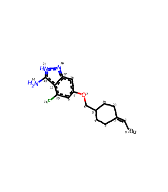 CCC(C)C=C1CCC(COc2cc(F)c3c(N)[nH]nc3c2)CC1